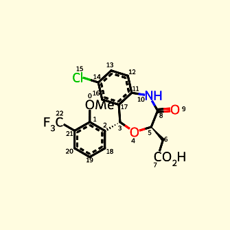 COc1c([C@H]2O[C@H](CC(=O)O)C(=O)Nc3ccc(Cl)cc32)cccc1C(F)(F)F